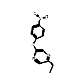 CCc1cnc(Oc2ccc([N+](=O)[O-])cc2)cn1